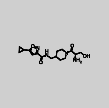 N[C@H](CO)C(=O)N1CCC(CNC(=O)c2cc(C3CC3)on2)CC1